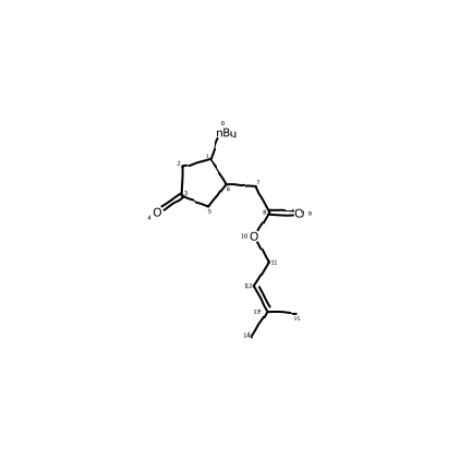 CCCCC1CC(=O)CC1CC(=O)OCC=C(C)C